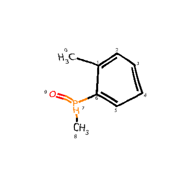 Cc1ccccc1[PH](C)=O